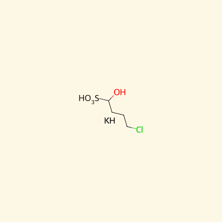 O=S(=O)(O)C(O)CCCCl.[KH]